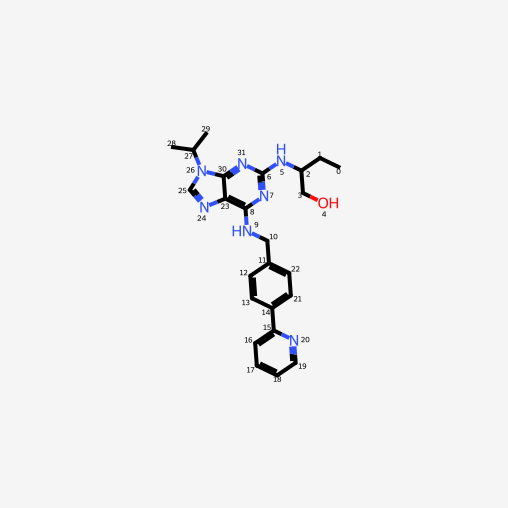 CCC(CO)Nc1nc(NCc2ccc(-c3ccccn3)cc2)c2ncn(C(C)C)c2n1